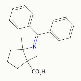 CC1(N=C(c2ccccc2)c2ccccc2)CCCC1(C)C(=O)O